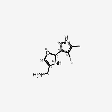 Cc1[nH]nc(C2NC(CN)=CO2)c1F